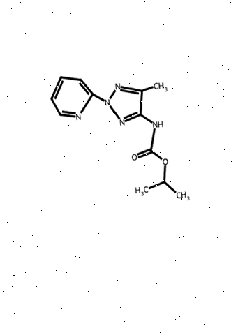 Cc1nn(-c2ccccn2)nc1NC(=O)OC(C)C